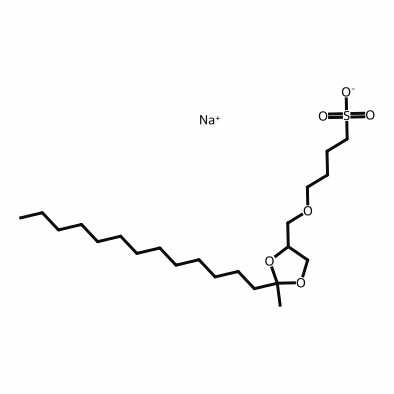 CCCCCCCCCCCCCC1(C)OCC(COCCCCS(=O)(=O)[O-])O1.[Na+]